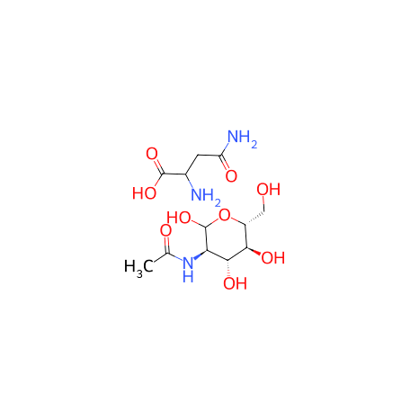 CC(=O)N[C@H]1C(O)O[C@H](CO)[C@@H](O)[C@@H]1O.NC(=O)CC(N)C(=O)O